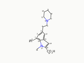 CC(C)c1cc(CCN2CCCCC2)cc2cc(C(=O)O)n(C)c12